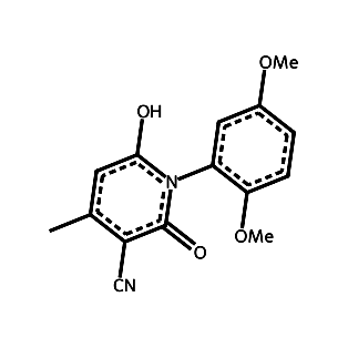 COc1ccc(OC)c(-n2c(O)cc(C)c(C#N)c2=O)c1